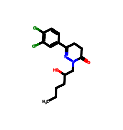 CCCCC(O)CN1N=C(c2ccc(Cl)c(Cl)c2)CCC1=O